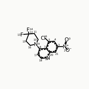 O=[N+]([O-])c1cc(Cl)c2c(N3CCC(F)(F)CC3)ccnc2c1